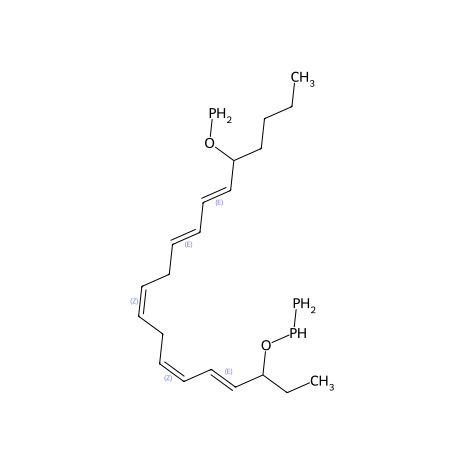 CCCCC(/C=C/C=C/C/C=C\C/C=C\C=C\C(CC)OPP)OP